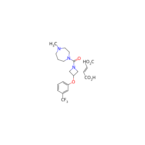 CN1CCCN(C(=O)N2CC(Oc3cccc(C(F)(F)F)c3)C2)CC1.O=C(O)C=CC(=O)O